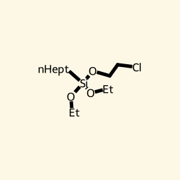 CCCCCCC[Si](OCC)(OCC)OCCCl